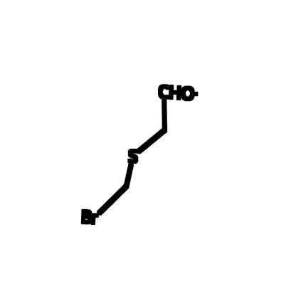 O=[C]CSCBr